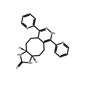 O=C1N[C@H]2CCC3=C(c4ccccn4)NN=C(c4ccccn4)C3CC[C@H]2N1